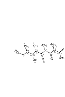 C[C@@H](O)[C@H](N)C(=O)C(O)C(=O)[C@@H](O)[C@H](O)[C@H](O)CO